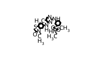 CCNS(=O)(=O)c1cc(Nc2ncc(C)c(Nc3ccc4c(c3)N(CC)C(=O)CS4)n2)ccc1C